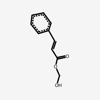 O=C(C=Cc1ccccc1)O[CH]O